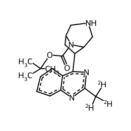 [2H]C([2H])([2H])c1nc(C2CC3CNCC2N3C(=O)OC(C)(C)C)c2ccccc2n1